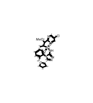 COC(c1ncc(Cl)cn1)C(C)S(=O)(=O)Nc1nnc([C@@H]2CCCO2)n1-c1ccccc1F